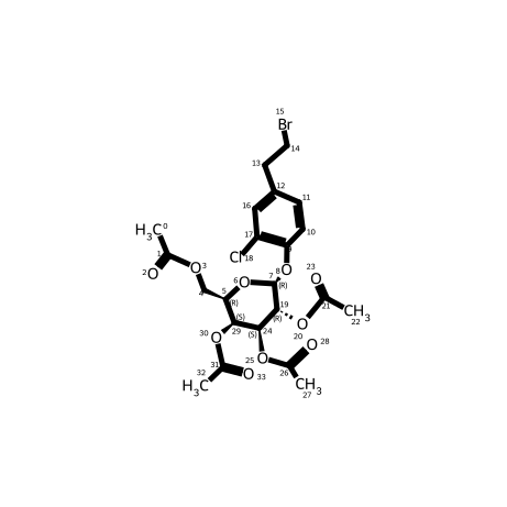 CC(=O)OC[C@H]1O[C@H](Oc2ccc(CCBr)cc2Cl)[C@H](OC(C)=O)[C@@H](OC(C)=O)[C@H]1OC(C)=O